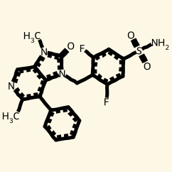 Cc1ncc2c(c1-c1ccccc1)n(Cc1c(F)cc(S(N)(=O)=O)cc1F)c(=O)n2C